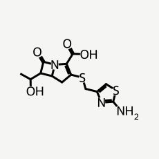 CC(O)C1C(=O)N2C(C(=O)O)=C(SCc3csc(N)n3)CC12